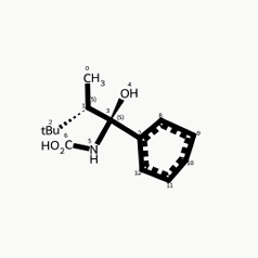 C[C@@H](C(C)(C)C)[C@@](O)(NC(=O)O)c1ccccc1